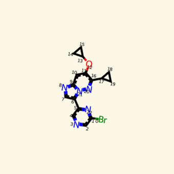 Brc1cncc(-c2cnc3cc(OC4CC4)c(C4CC4)nn23)n1